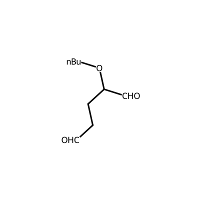 CCCCOC(C=O)CCC=O